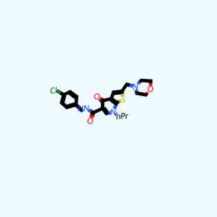 CCCn1cc(C(=O)NCc2ccc(Cl)cc2)c(=O)c2cc(CN3CCOCC3)sc21